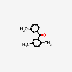 Cc1cccc(C(=O)c2cc(C)ccc2C)c1